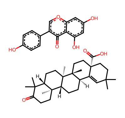 CC1(C)C=C2[C@H]3CC[C@@H]4[C@@]5(C)CCC(=O)C(C)(C)[C@@H]5CC[C@@]4(C)[C@]3(C)CC[C@@]2(C(=O)O)CC1.O=c1c(-c2ccc(O)cc2)coc2cc(O)cc(O)c12